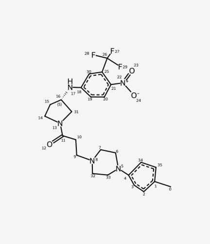 Cc1ccc(N2CCN(CCC(=O)N3CC[C@H](Nc4ccc([N+](=O)[O-])c(C(F)(F)F)c4)C3)CC2)cc1